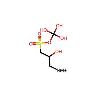 CNCC(O)CS(=O)(=O)OC(O)(O)O